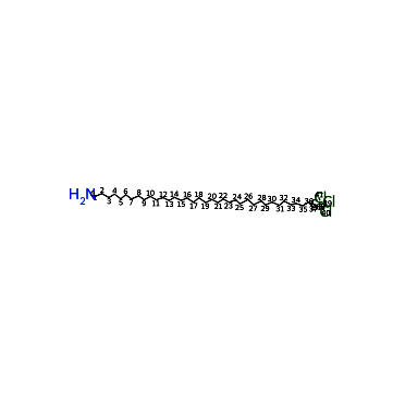 NCCCCCCCCCCCCCCCCCCCCCCCCCCCCCCCCCCCCC[Si](Cl)(Cl)Cl